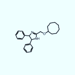 c1ccc(C2N=C(COC3CCCCCCC3)NC2c2ccccc2)cc1